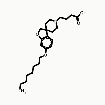 CCCCCCCCOc1ccc2c(c1)OCC21CCN(CCCC(=O)O)CC1